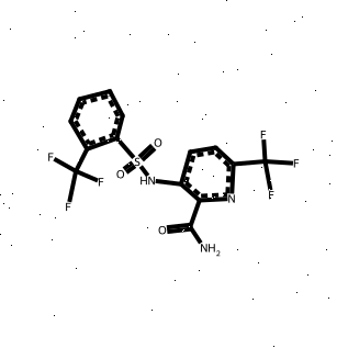 NC(=O)c1nc(C(F)(F)F)ccc1NS(=O)(=O)c1ccccc1C(F)(F)F